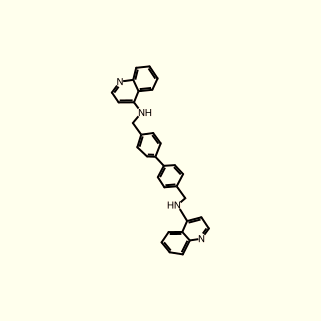 c1ccc2c(NCc3ccc(-c4ccc(CNc5ccnc6ccccc56)cc4)cc3)ccnc2c1